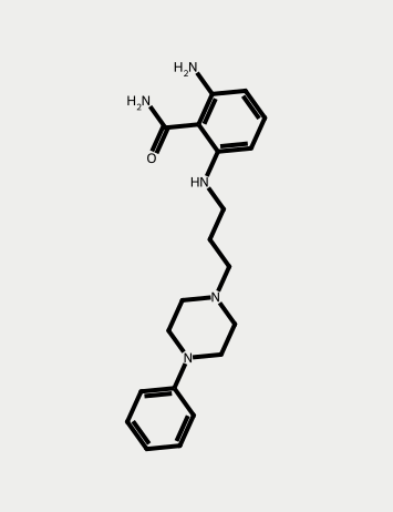 NC(=O)c1c(N)cccc1NCCCN1CCN(c2ccccc2)CC1